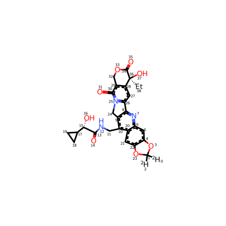 [2H]C1([2H])Oc2cc3nc4c(c(CNC(=O)[C@@H](O)C5CC5)c3cc2O1)Cn1c-4cc2c(c1=O)COC(=O)[C@]2(O)CC